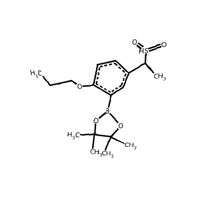 CCCOc1ccc(C(C)[SH](=O)=O)cc1B1OC(C)(C)C(C)(C)O1